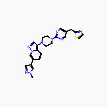 Cn1cc(-c2ccc3c(N4CCN(c5ncc(Cc6nccs6)cn5)CC4)cnn3c2)cn1